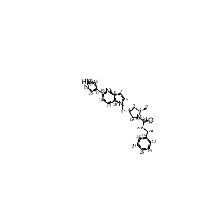 C[C@@H]1C[C@@H](Cn2ccc3nc(-c4cn[nH]c4)ccc32)CN1C(=O)CCc1ccccc1